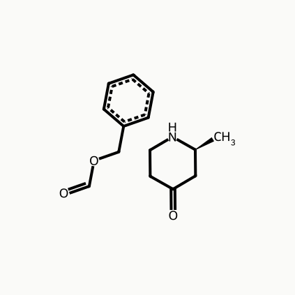 C[C@H]1CC(=O)CCN1.O=COCc1ccccc1